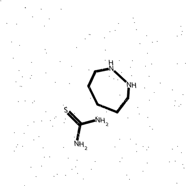 C1CCNNCC1.NC(N)=S